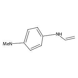 C=CNc1ccc(NC)cc1